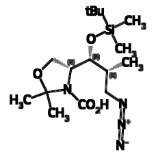 C[C@H](CN=[N+]=[N-])[C@@H](O[Si](C)(C)C(C)(C)C)[C@H]1COC(C)(C)N1C(=O)O